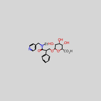 CCN(Cc1ccncc1)C(=O)C(COC1O[C@H](C(=O)O)[C@@H](O)[C@H](O)[C@H]1O)c1ccccc1